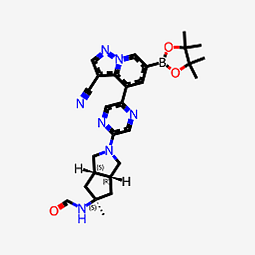 CC1(C)OB(c2cc(-c3cnc(N4C[C@@H]5C[C@@](C)(NC=O)C[C@@H]5C4)cn3)c3c(C#N)cnn3c2)OC1(C)C